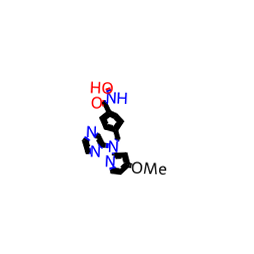 COc1ccnc(N(Cc2ccc(C(=O)NO)cc2)c2cnccn2)c1